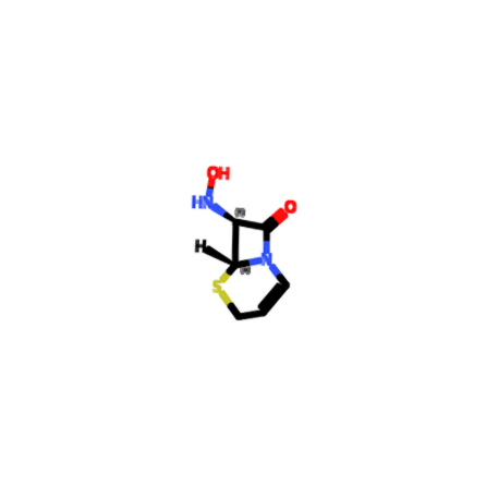 O=C1[C@H](NO)[C@H]2SCC=CN12